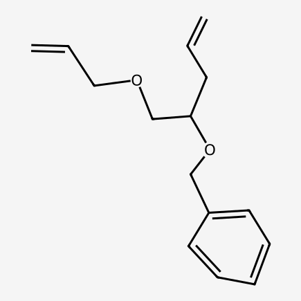 C=CCOCC(CC=C)OCc1ccccc1